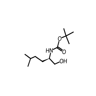 CC(C)CC[C@H](CO)NC(=O)OC(C)(C)C